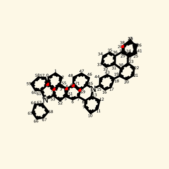 c1ccc(-c2ccc(-c3ccccc3N(c3ccc(-c4cccc(-c5ccccc5)c4-c4ccccc4-c4ccccc4)cc3)c3cccc(-c4ccc5c(c4)c4ccccc4n5-c4ccccc4)c3)cc2)cc1